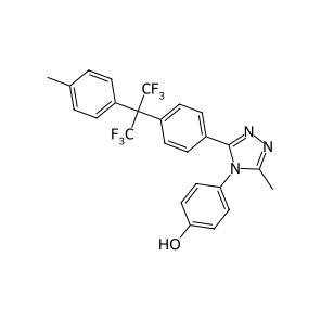 Cc1ccc(C(c2ccc(-c3nnc(C)n3-c3ccc(O)cc3)cc2)(C(F)(F)F)C(F)(F)F)cc1